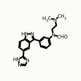 CN(C)CCN(C=O)c1cccc(-c2n[nH]c3ccc(-c4ncn[nH]4)cc23)c1